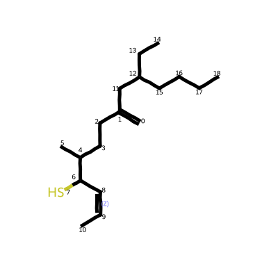 C=C(CCC(C)C(S)/C=C\C)CC(CC)CCCC